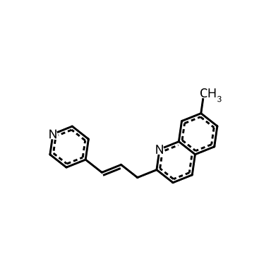 Cc1ccc2ccc(CC=Cc3ccncc3)nc2c1